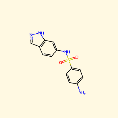 Nc1ccc(S(=O)(=O)Nc2ccc3cn[nH]c3c2)cc1